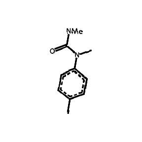 CNC(=O)N(C)c1ccc(C)cc1